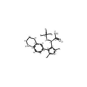 Cc1sc(C)c(C(SC(C)(C)C)C(=O)O)c1-c1ccc2c(c1)CCCO2